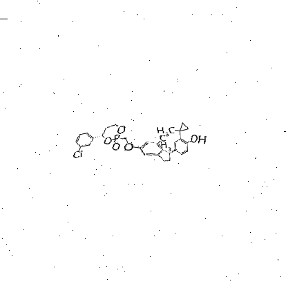 Cc1cc(OC[P@]2(=O)OCC[C@@H](c3cccc(Cl)c3)O2)cc2c1[C@@H](c1ccc(O)c(C3(C)CC3)c1)CC2